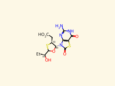 CC[C@H](O)C1O[C@@H](n2c(=O)sc3c(=O)[nH]c(N)nc32)[C@H](CC(=O)O)S1